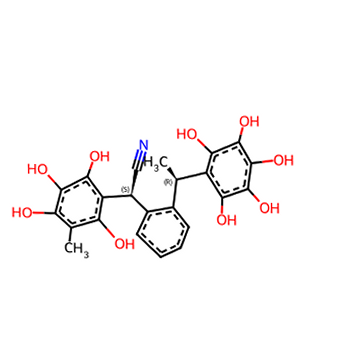 Cc1c(O)c(O)c(O)c([C@@H](C#N)c2ccccc2[C@@H](C)c2c(O)c(O)c(O)c(O)c2O)c1O